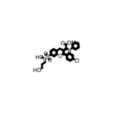 COC(=O)c1c(Cc2ccc(S(=O)(=O)N(O)CCCO)cc2)c(=O)c2ccc(Cl)cc2n1-c1ccccc1